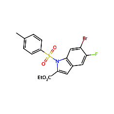 CCOC(=O)c1cc2cc(F)c(Br)cc2n1S(=O)(=O)c1ccc(C)cc1